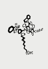 CCCCCCCCCCCCCCCCCCOc1ccc(S(=O)(=O)Nc2ccccc2Cl)cc1NC(=O)C(C(=O)N1CCc2ccccc21)N1C(=O)C(OC)N(C)C1=O